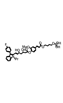 COc1cc(/C=C/C(=O)OCCCCON(O)O)ccc1OC(=O)C[C@H](O)C[C@H](O)/C=C/c1c(-c2ccc(F)cc2)c2ccccc2n1C(C)C